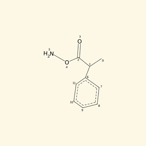 CC(C(=O)ON)c1ccccc1